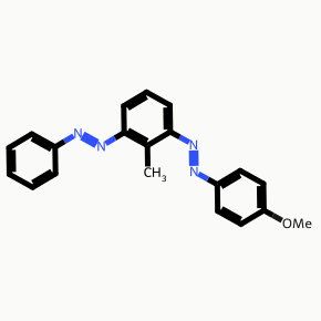 COc1ccc(N=Nc2cccc(N=Nc3ccccc3)c2C)cc1